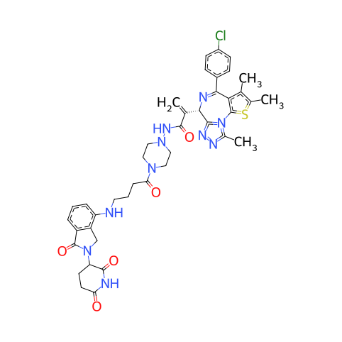 C=C(C(=O)NN1CCN(C(=O)CCCNc2cccc3c2CN(C2CCC(=O)NC2=O)C3=O)CC1)[C@@H]1N=C(c2ccc(Cl)cc2)c2c(sc(C)c2C)-n2c(C)nnc21